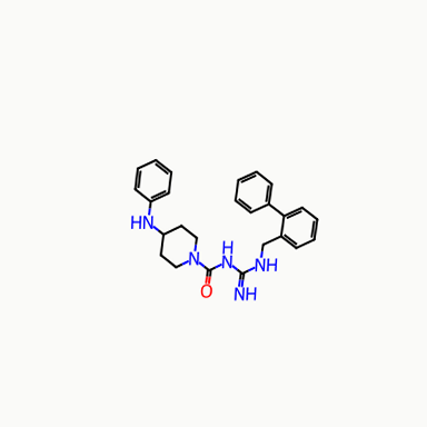 N=C(NCc1ccccc1-c1ccccc1)NC(=O)N1CCC(Nc2ccccc2)CC1